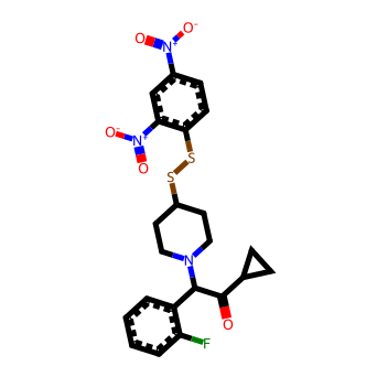 O=C(C1CC1)C(c1ccccc1F)N1CCC(SSc2ccc([N+](=O)[O-])cc2[N+](=O)[O-])CC1